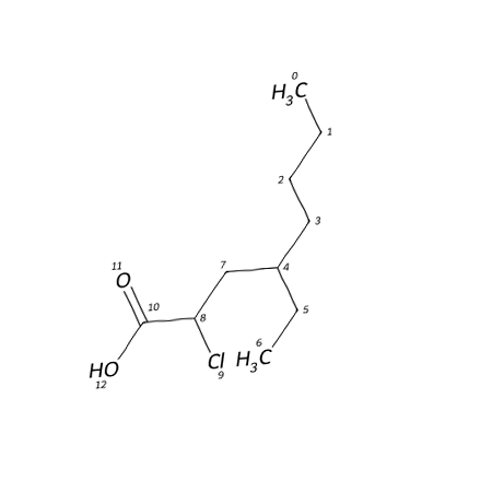 CCCCC(CC)CC(Cl)C(=O)O